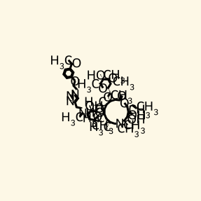 CCC[C@H]1OC(=O)[C@H](C)[C@@H](OC[C@H]2C[C@@](C)(OC)[C@@H](O)[C@H](C)O2)[C@H](C)[C@@H](O[C@@H]2O[C@H](C)C[C@H](N(C)CCc3cn(CCOc4cccc(C(C)=O)c4)nn3)[C@H]2O)[C@](C)(O)C[C@@H](C)CN(C)[C@H](C)[C@@H](O)[C@]1(C)O